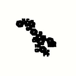 CCc1c(N2CCN(C(=O)c3ncnc(C)c3OCc3ccccc3)CC2)c(=O)n2nc(-c3ccc4cn[nH]c4c3)nc2n1CC(=O)Nc1ccc(C(F)(F)F)cc1Cl